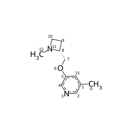 Cc1cncc(OC[C@H]2CCN2C)c1